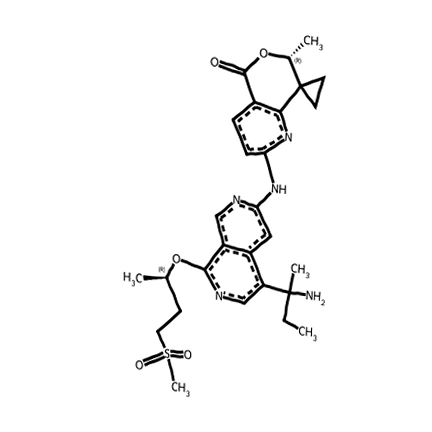 CCC(C)(N)c1cnc(O[C@H](C)CCS(C)(=O)=O)c2cnc(Nc3ccc4c(n3)C3(CC3)[C@@H](C)OC4=O)cc12